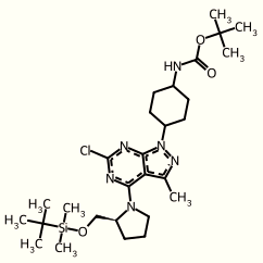 Cc1nn(C2CCC(NC(=O)OC(C)(C)C)CC2)c2nc(Cl)nc(N3CCC[C@H]3CO[Si](C)(C)C(C)(C)C)c12